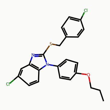 CCCOc1ccc(-n2c(SCc3ccc(Cl)cc3)nc3cc(Cl)ccc32)cc1